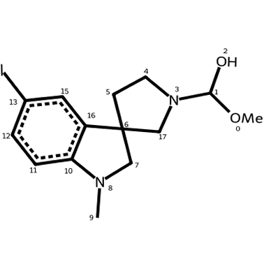 COC(O)N1CCC2(CN(C)c3ccc(Cl)cc32)C1